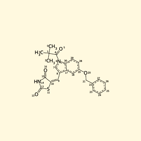 CC(C)(C)C(=O)n1cc(C=C2SC(=O)NC2=O)c2cc(OCc3ccccc3)ccc21